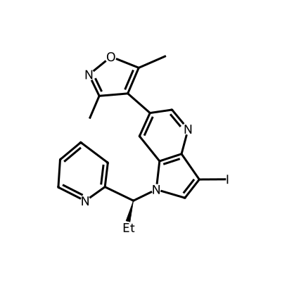 CC[C@@H](c1ccccn1)n1cc(I)c2ncc(-c3c(C)noc3C)cc21